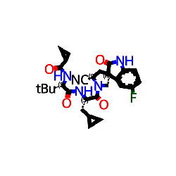 CC(C)(C)[C@H](NC(=O)C1CC1)C(=O)N[C@@H](CC1CC1)C(=O)N1C[C@]2(C[C@H]1C#N)C(=O)Nc1ccc(F)cc12